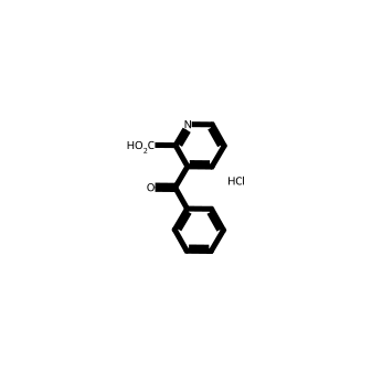 Cl.O=C(c1ccccc1)c1cccnc1C(=O)O